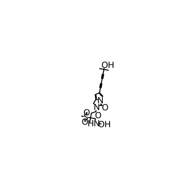 CC(C)(O)C#CC#Cc1cc2n(c1)C(=O)N(CCC(C)(C(=O)NO)S(C)(=O)=O)C2